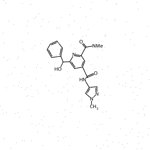 CNC(=O)c1cc(C(=O)Nc2cnn(C)c2)cc(C(O)c2ccccc2)n1